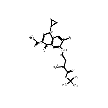 CC(C)(C)OC(=O)C(N)CCNc1cc2c(=O)c(C(=O)O)cn(C3CC3)c2cc1Cl